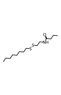 CCCCCCCCSSCCNC(=O)CCC